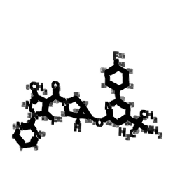 Cc1nn(-c2ncccn2)c(F)c1C(=O)N1CC2[C@@H](C1)[C@@H]2Oc1cc(C(C)(C)N)cc(-c2ccc(F)cc2)n1